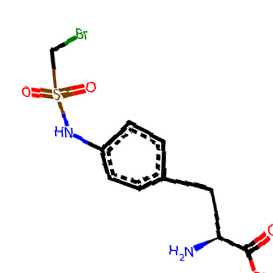 N[C@@H](Cc1ccc(NS(=O)(=O)CBr)cc1)C(=O)O